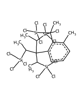 Cc1cccc(C(C(C)[Si](Cl)(Cl)Cl)(C(C)[Si](Cl)(Cl)Cl)C(C)[Si](Cl)(Cl)Cl)c1C(C)[Si](Cl)(Cl)Cl